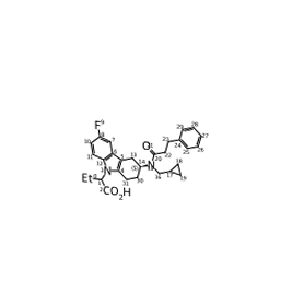 CCC(C(=O)O)n1c2c(c3cc(F)ccc31)C[C@@H](N(CC1CC1)C(=O)CCc1ccccc1)CC2